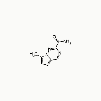 Cc1ccc2cnc(C(N)=O)nn12